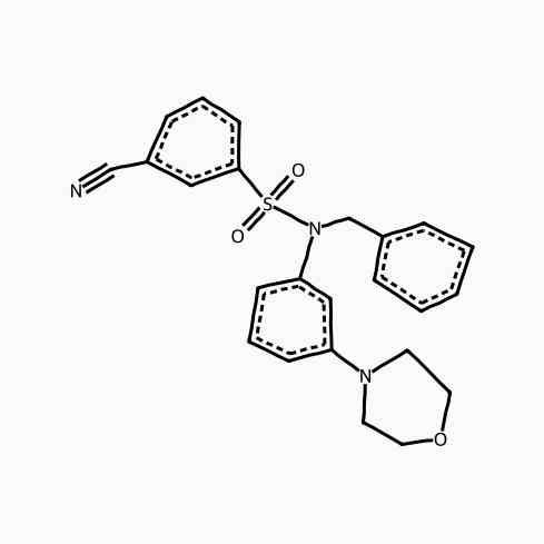 N#Cc1cccc(S(=O)(=O)N(Cc2ccccc2)c2cccc(N3CCOCC3)c2)c1